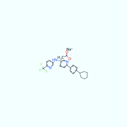 CC(=O)[O-].FC(F)(F)c1ccc(Nc2ccc(-c3ccc(C4CCCCC4)cc3)nc2)cn1.[Na+]